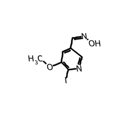 COc1cc(/C=N\O)cnc1I